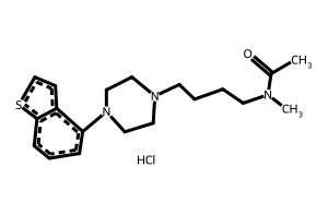 CC(=O)N(C)CCCCN1CCN(c2cccc3sccc23)CC1.Cl